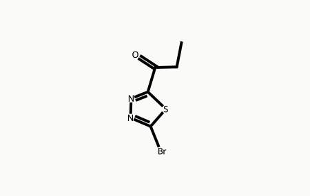 CCC(=O)c1nnc(Br)s1